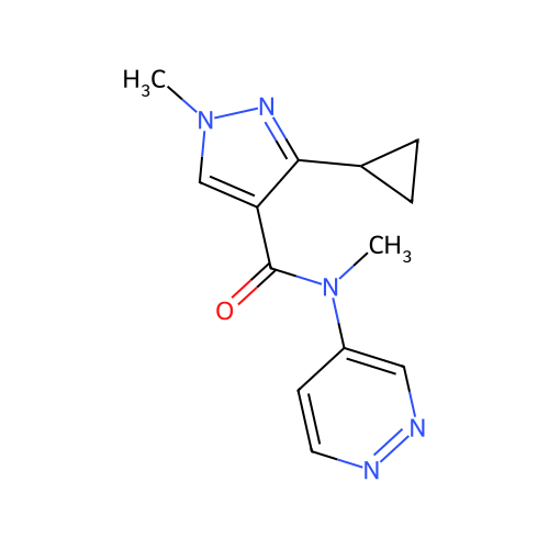 CN(C(=O)c1cn(C)nc1C1CC1)c1ccnnc1